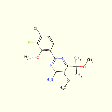 COc1c(N)nc(-c2ccc(Cl)c(F)c2OC)nc1C(C)(C)OC